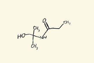 CCC(=O)NC(C)(C)O